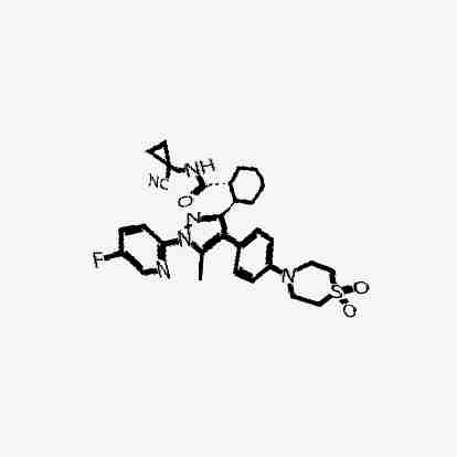 Cc1c(-c2ccc(N3CCS(=O)(=O)CC3)cc2)c([C@@H]2CCCC[C@H]2C(=O)NC2(C#N)CC2)nn1-c1ccc(F)cn1